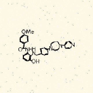 COc1ccc(C(=O)Nc2cccc(O)c2NCc2ccc(N3CCCN(c4ccncc4)CC3)cc2)cc1